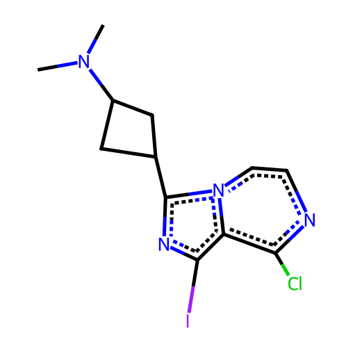 CN(C)C1CC(c2nc(I)c3c(Cl)nccn23)C1